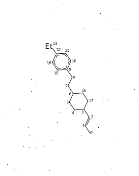 CC=CC1CCC(CCc2ccc(CC)cc2)CC1